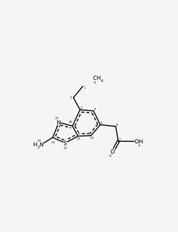 C.CCc1cc(CC(=O)O)cc2sc(N)nc12